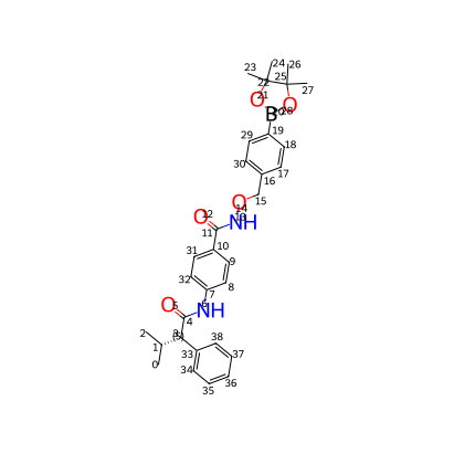 CC(C)[C@H](C(=O)Nc1ccc(C(=O)NOCc2ccc(B3OC(C)(C)C(C)(C)O3)cc2)cc1)c1ccccc1